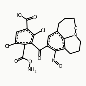 NOC(=O)c1c(Cl)cc(C(=O)O)c(Cl)c1C(=O)c1cc2c3c(c1N=O)CCCN3CCCC2